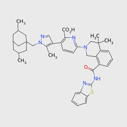 Cc1c(-c2ccc(N3Cc4c(C(=O)Nc5nc6ccccc6s5)cccc4C(C)(C)C3)nc2C(=O)O)cnn1CC12CC(C)CC(CC(C)C1)C2